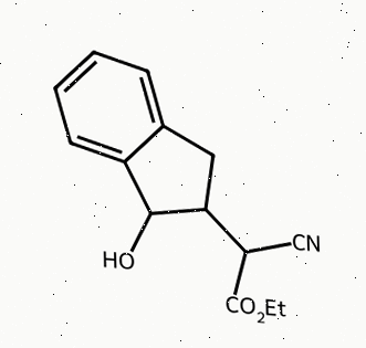 CCOC(=O)C(C#N)C1Cc2ccccc2C1O